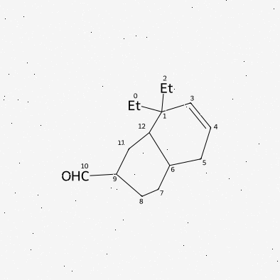 CCC1(CC)C=CCC2CCC(C=O)CC21